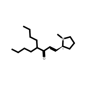 CCCCC(CCCC)C(=O)/C=C/[C@@H]1CCCN1C